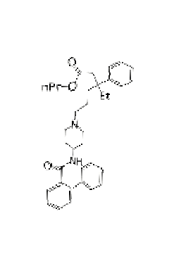 CCCOC(=O)CC(CC)(CCCN1CCC(NC(=O)c2ccccc2-c2ccccc2)CC1)c1ccccc1